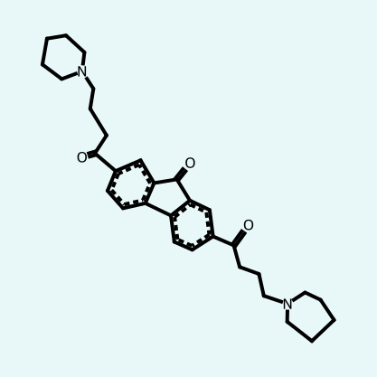 O=C(CCCN1CCCCC1)c1ccc2c(c1)C(=O)c1cc(C(=O)CCCN3CCCCC3)ccc1-2